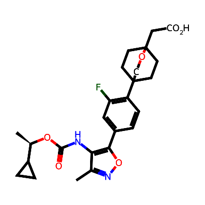 Cc1noc(-c2ccc(C34CCC(CC(=O)O)(CC3)OC4)c(F)c2)c1NC(=O)O[C@H](C)C1CC1